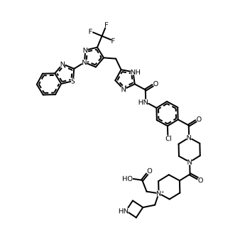 O=C(O)C[N+]1(CC2CNC2)CCC(C(=O)N2CCN(C(=O)c3ccc(NC(=O)c4ncc(Cc5cn(-c6nc7ccccc7s6)nc5C(F)(F)F)[nH]4)cc3Cl)CC2)CC1